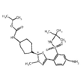 CC(C)OC(=O)NC1CCC([C@H]2SC(c3ccc(N)cc3S(=O)(=O)NC(C)(C)C)=CN2C)CC1